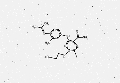 CC(C)=Nc1ccc(Nc2nc(NCCN)c(F)cc2C(N)=O)cc1C